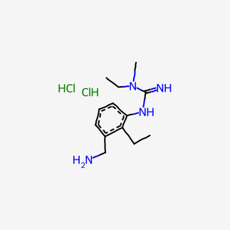 CCc1c(CN)cccc1NC(=N)N(C)CC.Cl.Cl